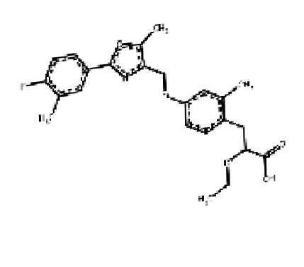 CCOC(Cc1ccc(OCc2nc(-c3ccc(F)c(C)c3)oc2C)cc1C)C(=O)O